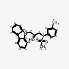 Cc1cccc(N(CC(O)Cn2c3ccccc3c3ccccc32)S(C)(=O)=O)c1